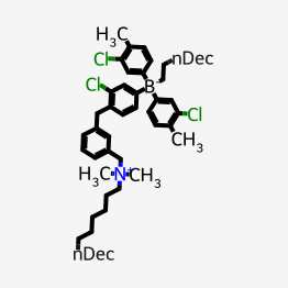 CCCCCCCCCCCCCCCC[N+](C)(C)Cc1cccc(Cc2ccc([B-](CCCCCCCCCCCC)(c3ccc(C)c(Cl)c3)c3ccc(C)c(Cl)c3)cc2Cl)c1